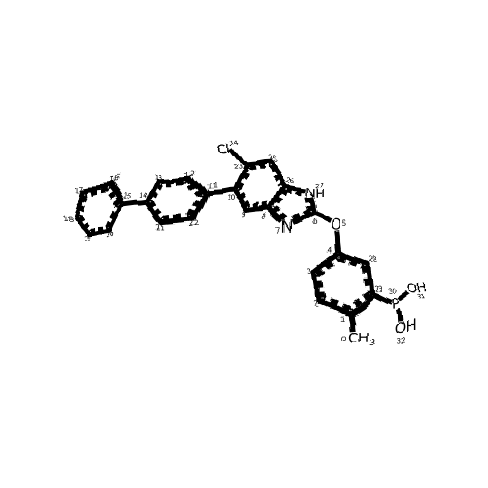 Cc1ccc(Oc2nc3cc(-c4ccc(-c5ccccc5)cc4)c(Cl)cc3[nH]2)cc1P(O)O